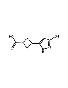 O=C(O)N1CC(c2cc(O)n[nH]2)C1